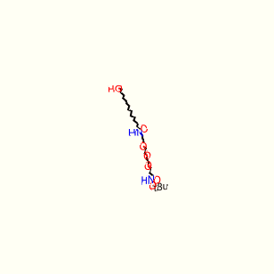 CC(C)(C)OC(=O)NCCCOCCOCCOCCCNC(=O)CCCCCCCCCCCCCCO